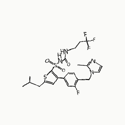 Cc1nccn1Cc1ccc(-c2cc(CC(C)C)sc2S(=O)(=O)NC(=O)NCCC(F)(F)F)cc1F